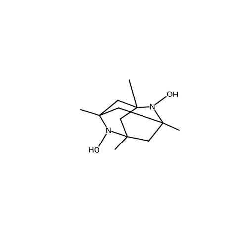 CC12CC3(C)CC(C)(CC(C)(C1)N3O)N2O